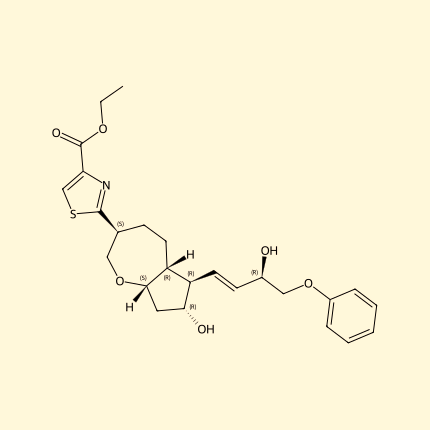 CCOC(=O)c1csc([C@H]2CC[C@@H]3[C@@H](C=C[C@@H](O)COc4ccccc4)[C@H](O)C[C@@H]3OC2)n1